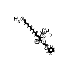 CCCCCCCCCCCC(OCC)C(=O)OCCOc1ccccc1